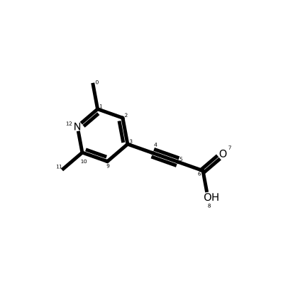 Cc1cc(C#CC(=O)O)cc(C)n1